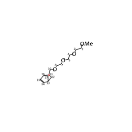 COCCOCCOCCOCC1CC2C=CC1C2